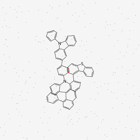 c1ccc(-c2cccc3cccc(-c4ccccc4N(c4ccc(-c5ccc6c(c5)c5ccccc5n6-c5ccccc5)cc4)c4ccccc4-c4cccc5sc6ccccc6c45)c23)cc1